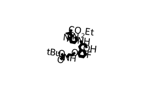 CCOC(=O)c1cnn2ccc(NC(CO)Cc3cc(F)ccc3OCCNC(=O)OC(C)(C)C)nc12